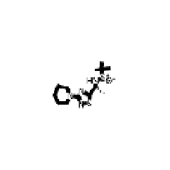 C[C@@H](N[S@@+]([O-])C(C)(C)C)c1nc(N2CCCCC2)ns1